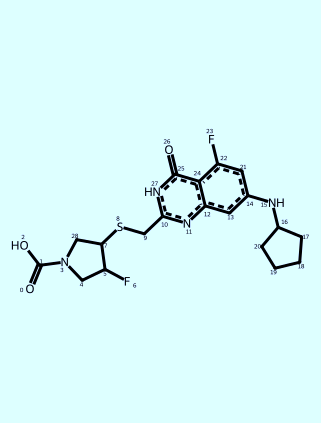 O=C(O)N1CC(F)C(SCc2nc3cc(NC4CCCC4)cc(F)c3c(=O)[nH]2)C1